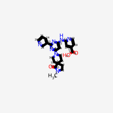 CN1CCC2(CCN(c3cc(Nc4cc(C(=O)O)ccn4)nc(-c4cccnc4)n3)CC2)C1=O